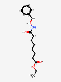 CCOC(=O)CCCCCCC(=O)NOCc1ccccc1